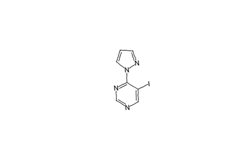 Ic1cncnc1-n1cccn1